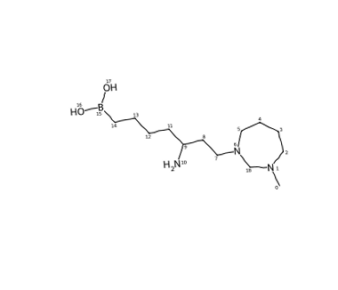 CN1CCCCN(CCC(N)CCCCB(O)O)C1